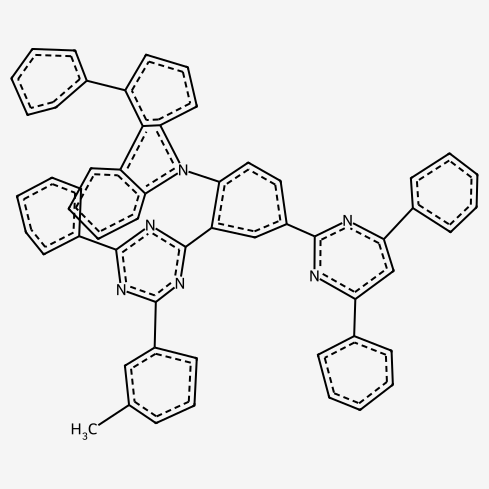 Cc1cccc(-c2nc(-c3ccccc3)nc(-c3cc(-c4nc(-c5ccccc5)cc(-c5ccccc5)n4)ccc3-n3c4ccccc4c4c(-c5ccccc5)cccc43)n2)c1